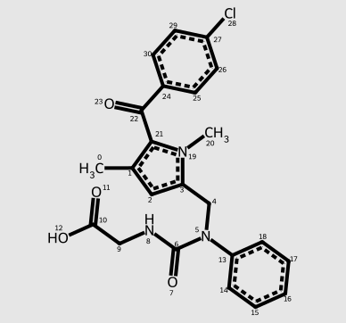 Cc1cc(CN(C(=O)NCC(=O)O)c2ccccc2)n(C)c1C(=O)c1ccc(Cl)cc1